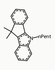 CCCCCn1c2c(c3ccccc31)C(C)(C)c1ccccc1-2